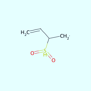 [CH2]C(C=C)[SH](=O)=O